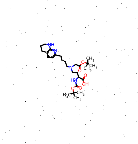 CC(C)(C)OC(=O)CN(CCCCc1ccc2c(n1)NCCC2)CCC(NC(=O)OC(C)(C)C)C(=O)O